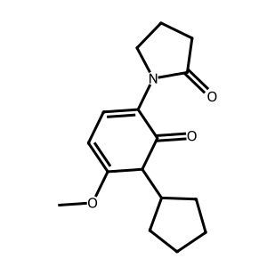 COC1=CC=C(N2CCCC2=O)C(=O)C1C1CCCC1